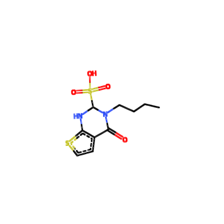 CCCCN1C(=O)c2ccsc2NC1S(=O)(=O)O